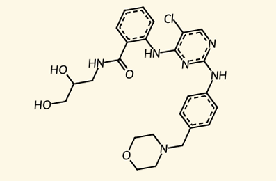 O=C(NCC(O)CO)c1ccccc1Nc1nc(Nc2ccc(CN3CCOCC3)cc2)ncc1Cl